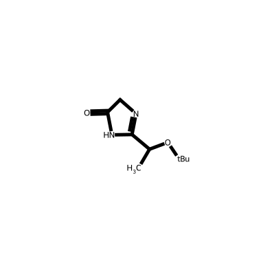 CC(OC(C)(C)C)C1=NCC(=O)N1